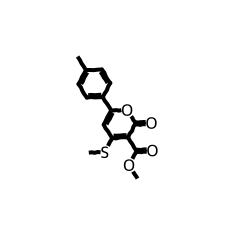 COC(=O)c1c(SC)cc(-c2ccc(C)cc2)oc1=O